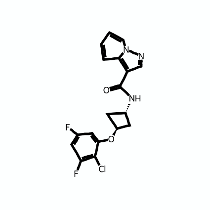 O=C(N[C@H]1C[C@H](Oc2cc(F)cc(F)c2Cl)C1)c1cnn2ccccc12